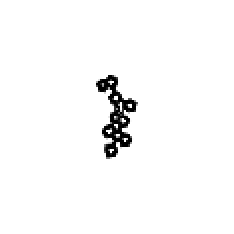 c1ccc(-c2c3ccccc3c(-c3cccc4c(-n5c6ccccc6c6cc(-c7cccc8ccccc78)ccc65)cccc34)c3ccccc23)cc1